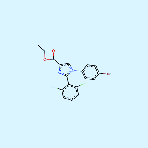 CC1OC(c2cn(-c3ccc(Br)cc3)c(-c3c(F)cccc3F)n2)O1